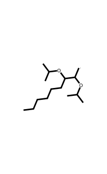 [CH2]C(OC(C)C)C(CCCCCC)OC(C)C